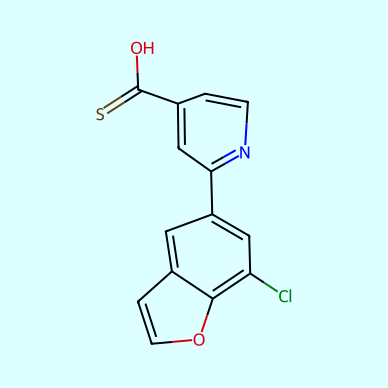 OC(=S)c1ccnc(-c2cc(Cl)c3occc3c2)c1